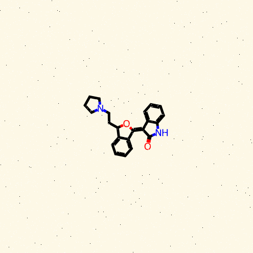 O=C1Nc2ccccc2/C1=C1\OC(CCN2CCCC2)c2ccccc21